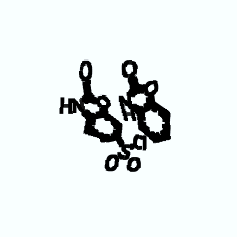 O=c1[nH]c2ccc(S(=O)(=O)Cl)cc2o1.O=c1[nH]c2ccccc2o1